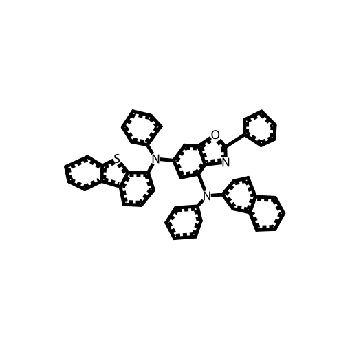 c1ccc(-c2nc3c(N(c4ccccc4)c4ccc5ccccc5c4)cc(N(c4ccccc4)c4cccc5c4sc4ccccc45)cc3o2)cc1